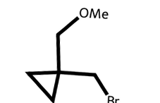 COCC1(CBr)CC1